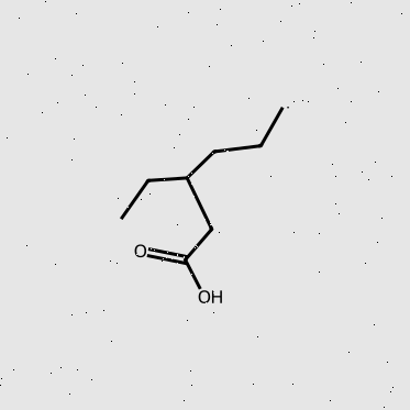 [CH2]CCC(CC)CC(=O)O